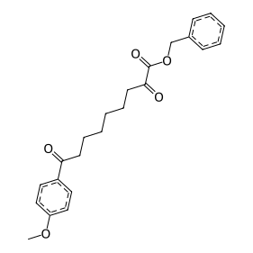 COc1ccc(C(=O)CCCCCCC(=O)C(=O)OCc2ccccc2)cc1